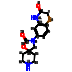 O=C1CSc2ccc(N3CC4(CCNCC4)OC3=O)cc2N1